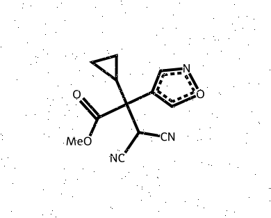 COC(=O)C(c1cnoc1)(C(C#N)C#N)C1CC1